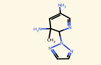 CC1(N)C=C(N)C=NC1n1nccn1